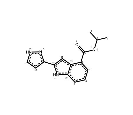 CC(C)NC(=O)c1cccc2[nH]c(-c3cc[nH]n3)cc12